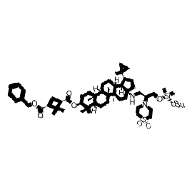 CC1([C@@H]2CC[C@]3(NC[C@@H](CO[Si](C)(C)C(C)(C)C)N4CCS(=O)(=O)CC4)CC[C@]4(C)[C@H](CC[C@@H]5[C@@]6(C)CC[C@H](OC(=O)[C@H]7C[C@@H](C(=O)OCc8ccccc8)C7(C)C)C(C)(C)[C@@H]6CC[C@]54C)[C@@H]23)CC1